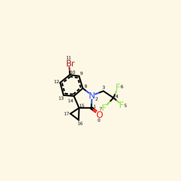 O=C1N(CC(F)(F)F)c2cc(Br)ccc2C12CC2